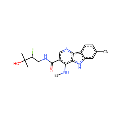 CCNc1c(C(=O)NCC(F)C(C)(C)O)cnc2c1[nH]c1cc(C#N)ccc12